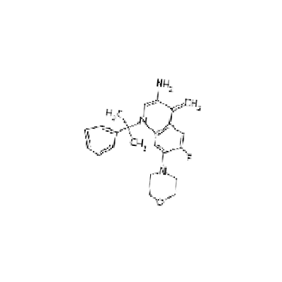 C=C1C(N)=CN(C(C)(C)c2ccccc2)c2cc(N3CCOCC3)c(F)cc21